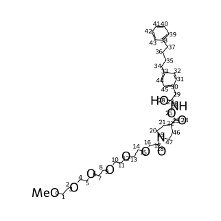 COCCOCCOCCOCCOCCOCC(=O)N1CCC(C(=O)ONC(O)Cc2ccc(CCCCc3ccccc3)cc2)CC1